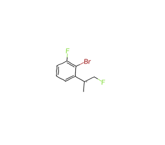 C[C](CF)c1cccc(F)c1Br